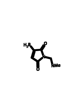 BC1=CC(=O)N(CNC)C1=O